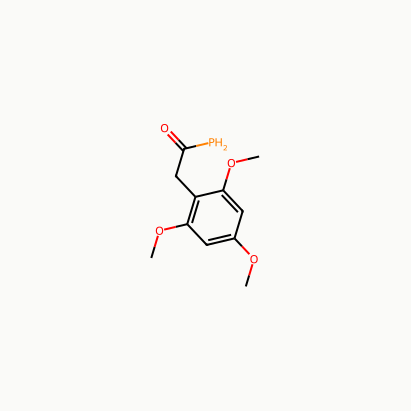 COc1cc(OC)c(CC(=O)P)c(OC)c1